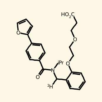 [2H]C(c1ccccc1OCCOCCC(=O)O)N(C(=O)c1ccc(-c2ccco2)cc1)C(C)C